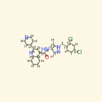 Cc1nn(Cc2ccc(Cl)cc2Cl)c(C)c1NC(=O)c1cc(-c2ccncc2)nc2ccccc12